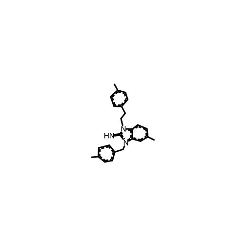 Cc1ccc(CCn2c(=N)n(Cc3ccc(C)cc3)c3cc(C)ccc32)cc1